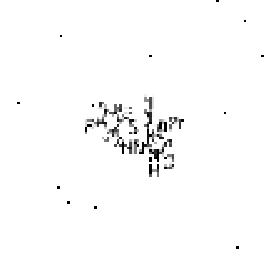 CCCc1cc(=O)[nH]c(=N)n1C(=N)SCc1ccc(F)cc1C